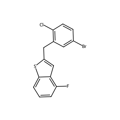 Fc1cccc2sc(Cc3cc(Br)ccc3Cl)cc12